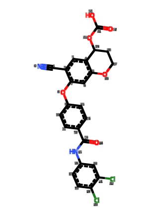 N#Cc1cc2c(cc1Oc1ccc(C(=O)Nc3ccc(Cl)c(Cl)c3)cc1)OCCC2OC(=O)O